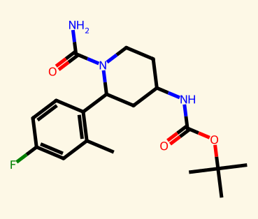 Cc1cc(F)ccc1C1CC(NC(=O)OC(C)(C)C)CCN1C(N)=O